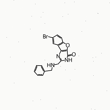 O=c1[nH]c(CNCc2ccccc2)nc2c1oc1ccc(Br)cc12